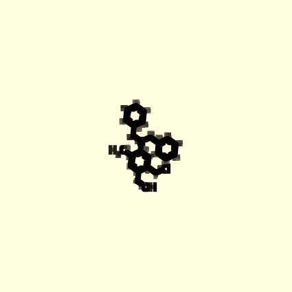 Cc1cc(CO)c(CCl)cc1N(Cc1ccccc1)Cc1ccccc1